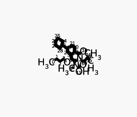 CCCCOc1c(N(C)C(=O)O)n(CC(C)C)c(=O)c2ccc(-c3ccccc3)cc12